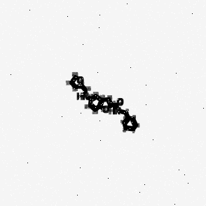 O=C(NCc1ccccc1)c1cc2cc(NCC3CCCO3)ccc2o1